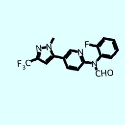 Cn1nc(C(F)(F)F)cc1-c1ccc(N(C=O)c2ccccc2F)nc1